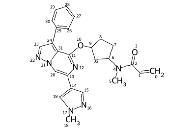 C=CC(=O)N(C)C1CCC(Oc2nc(-c3cnn(C)c3)cn3ncc(-c4ccccc4)c23)C1